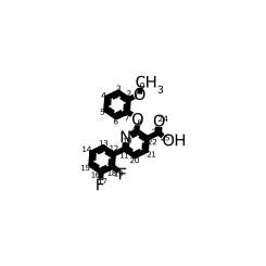 COc1ccccc1Oc1nc(-c2cccc(F)c2F)ccc1C(=O)O